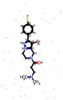 CN(C)CCC(=O)N1CCn2nc(-c3ccc(F)cc3)c(Br)c2C1